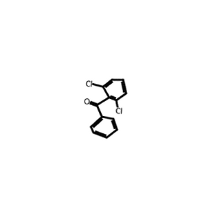 O=C(c1ccccc1)c1c(Cl)cccc1Cl